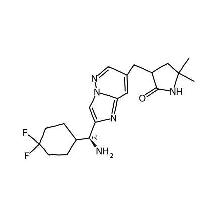 CC1(C)CC(Cc2cnn3cc([C@@H](N)C4CCC(F)(F)CC4)nc3c2)C(=O)N1